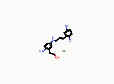 Cl.Nc1ccc(N)c(C=CCNc2ccc(N)c(CCO)c2)c1